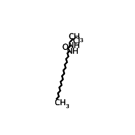 CCCCCCCCCCCCCCCCCCNC(=O)NCC(C)Cl